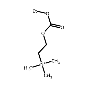 CCOC(=O)OCC[N+](C)(C)C